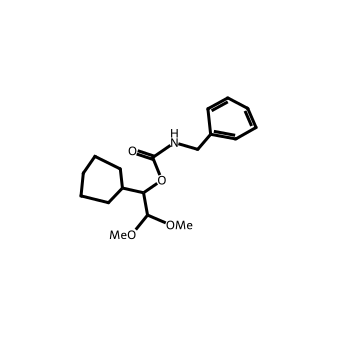 COC(OC)C(OC(=O)NCc1ccccc1)C1CCCCC1